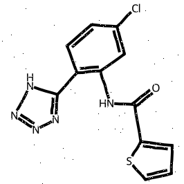 O=C(Nc1cc(Cl)ccc1-c1nnn[nH]1)c1cccs1